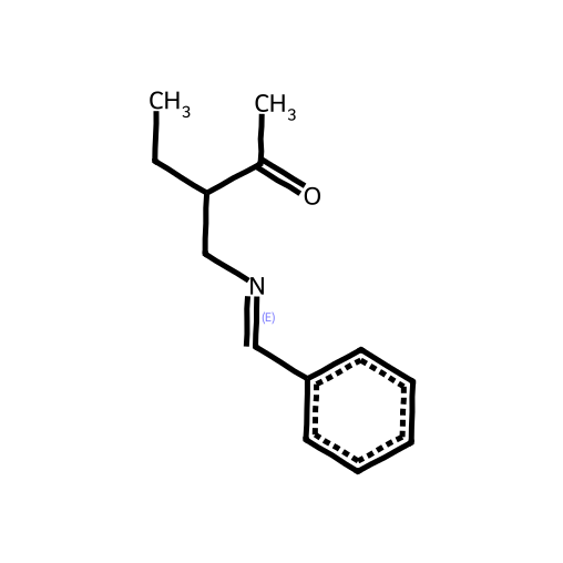 CCC(C/N=C/c1ccccc1)C(C)=O